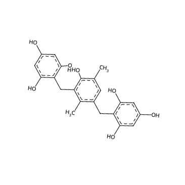 Cc1cc(Cc2c(O)cc(O)cc2O)c(C)c(Cc2c(O)cc(O)cc2O)c1O